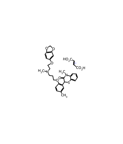 Cc1ccc(OCCCN(C)CCOc2ccc3c(c2)OCO3)c(C2Sc3ccccc3N(C)C2=O)c1.O=C(O)/C=C/C(=O)O